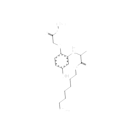 CCCCCCCCCCCCCCCCOC(=O)C(C)Nc1cc(O)ccc1OCC(=O)OCCCC